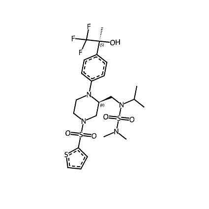 CC(C)N(C[C@H]1CN(S(=O)(=O)c2cccs2)CCN1c1ccc([C@](C)(O)C(F)(F)F)cc1)S(=O)(=O)N(C)C